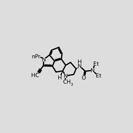 C#Cc1c2c3c(cccc3n1CCC)C1C[C@H](NC(=O)N(CC)CC)CN(C)[C@@H]1C2